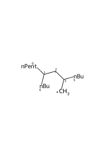 CCCCCC([CH]C(C)CCCC)CCCC